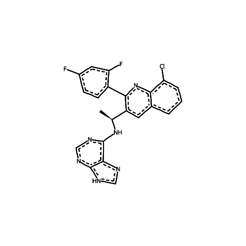 C[C@H](Nc1ncnc2[nH]cnc12)c1cc2cccc(Cl)c2nc1-c1ccc(F)cc1F